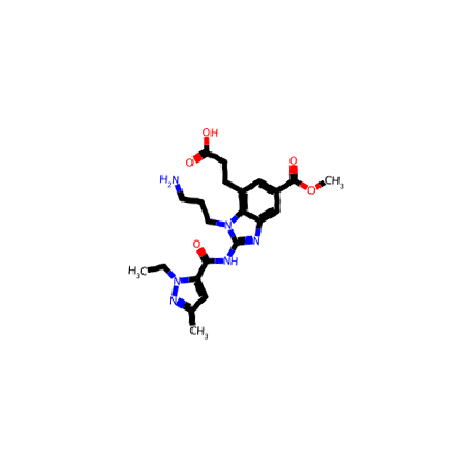 CCn1nc(C)cc1C(=O)Nc1nc2cc(C(=O)OC)cc(CCC(=O)O)c2n1CCCN